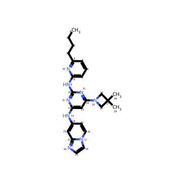 CCCCc1cccc(Nc2nc(Nc3ccn4ccnc4c3)cc(N3CC(C)(C)C3)n2)n1